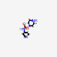 O=C(Nc1ccncc1)ON1CCNCC1